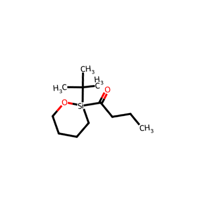 CCCC(=O)[Si]1(C(C)(C)C)CCCCO1